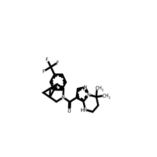 CC1(C)CCNc2c(C(=O)N3CC=C4CC4(c4cccc(C(F)(F)F)c4)C3)cnn21